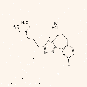 CCN(CC)CCNc1cc2c(nn1)-c1cc(Cl)ccc1CCC2.Cl.Cl